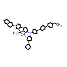 C=Cc1ccc(-c2ccc(-c3ccc(N(c4ccc(-c5ccccc5)cc4)c4ccc5c(c4)C(C)(C)c4cc(-c6ccc7ccccc7c6)ccc4-5)cc3)cc2)cc1